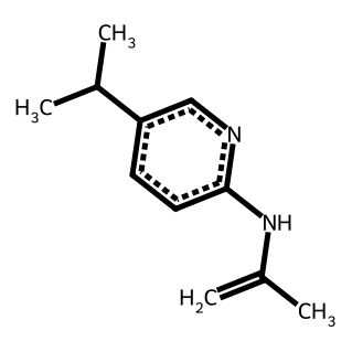 C=C(C)Nc1ccc(C(C)C)cn1